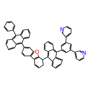 C1=Cc2c(oc3cc(-c4c5ccccc5c(-c5ccccc5)c5ccccc45)ccc23)C(c2c3ccccc3c(-c3cc(-c4cccnc4)cc(-c4cccnc4)c3)c3ccccc23)C1